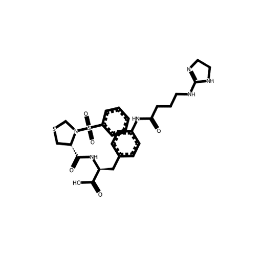 O=C(CCCNC1=NCCN1)Nc1ccc(C[C@H](NC(=O)[C@@H]2CSCN2S(=O)(=O)c2ccccc2)C(=O)O)cc1